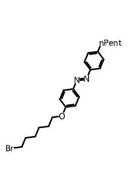 CCCCCc1ccc(N=Nc2ccc(OCCCCCCBr)cc2)cc1